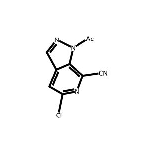 CC(=O)n1ncc2cc(Cl)nc(C#N)c21